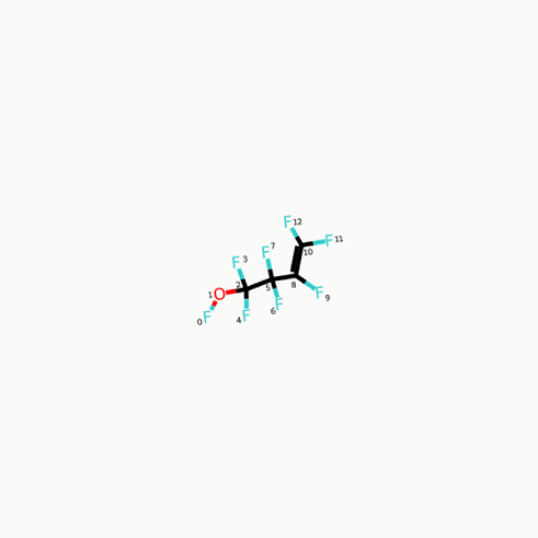 FOC(F)(F)C(F)(F)C(F)=C(F)F